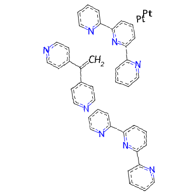 C=C(c1ccncc1)c1ccncc1.[Pt].[Pt].c1ccc(-c2cccc(-c3ccccn3)n2)nc1.c1ccc(-c2cccc(-c3ccccn3)n2)nc1